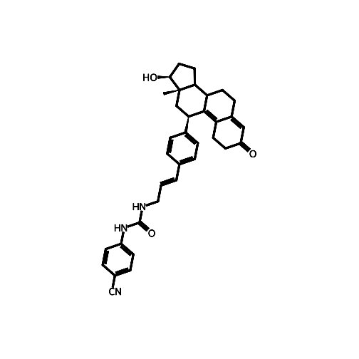 C[C@]12C[C@H](c3ccc(/C=C/CNC(=O)Nc4ccc(C#N)cc4)cc3)C3=C4CCC(=O)C=C4CCC3C1CC[C@@H]2O